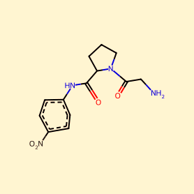 NCC(=O)N1CCCC1C(=O)Nc1ccc([N+](=O)[O-])cc1